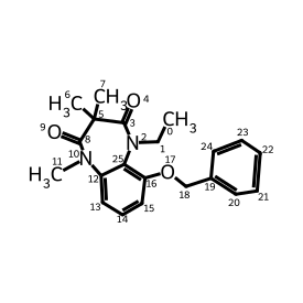 CCN1C(=O)C(C)(C)C(=O)N(C)c2cccc(OCc3ccccc3)c21